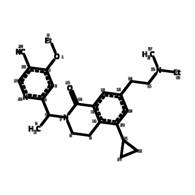 CCOc1cc(C(C)N2CCc3c(cc(CCN(C)CC)cc3C3CC3)C2=O)ncc1C#N